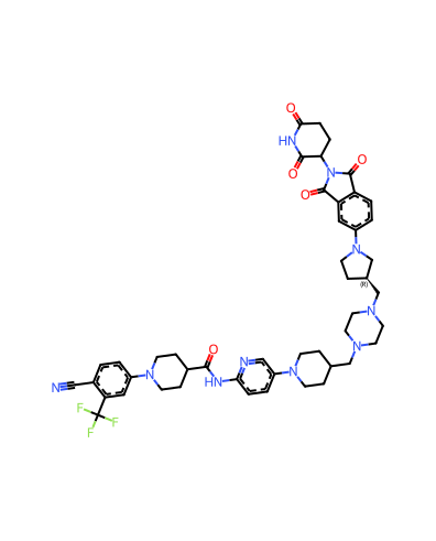 N#Cc1ccc(N2CCC(C(=O)Nc3ccc(N4CCC(CN5CCN(C[C@H]6CCN(c7ccc8c(c7)C(=O)N(C7CCC(=O)NC7=O)C8=O)C6)CC5)CC4)cn3)CC2)cc1C(F)(F)F